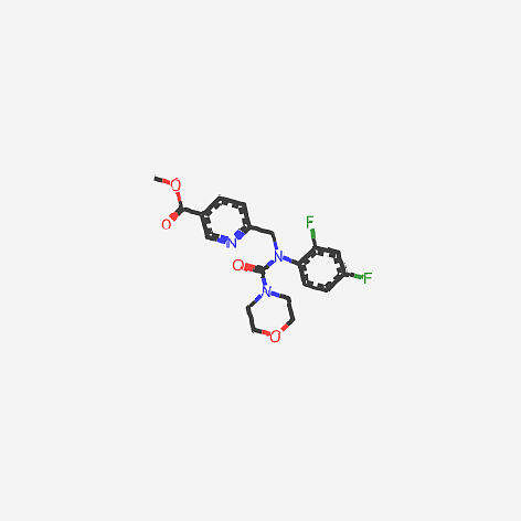 COC(=O)c1ccc(CN(C(=O)N2CCOCC2)c2ccc(F)cc2F)nc1